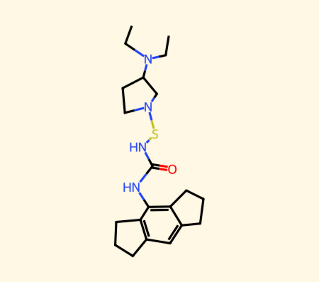 CCN(CC)C1CCN(SNC(=O)Nc2c3c(cc4c2CCC4)CCC3)C1